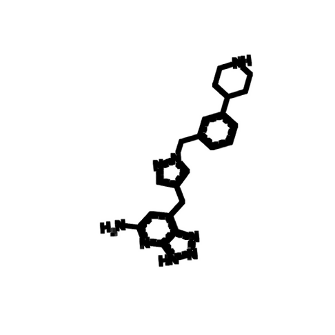 Nc1cc(Cc2cnn(Cc3cccc(C4CCNCC4)c3)c2)c2nn[nH]c2n1